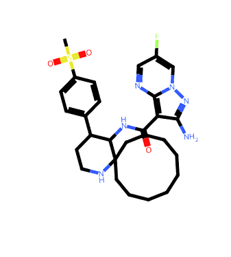 CS(=O)(=O)c1ccc(C2CCNC3(CCCCCCCCC3)C2NC(=O)c2c(N)nn3cc(F)cnc23)cc1